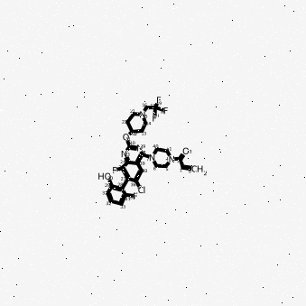 C=CC(=O)N1CCN(c2nc(OC3CCN(CC(F)(F)F)CC3)nc3c(F)c(-c4c(O)cccc4F)c(Cl)cc23)CC1